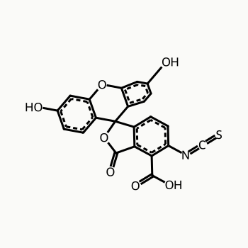 O=C(O)c1c(N=C=S)ccc2c1C(=O)OC21c2ccc(O)cc2Oc2cc(O)ccc21